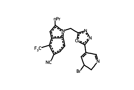 CCCc1cc2c(C(F)(F)F)c(C#N)ccc2n1Cc1nnc(C2=CC(Br)CN=C2)o1